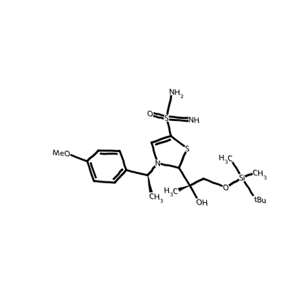 COc1ccc([C@H](C)N2C=C(S(=N)(N)=O)SC2[C@@](C)(O)CO[Si](C)(C)C(C)(C)C)cc1